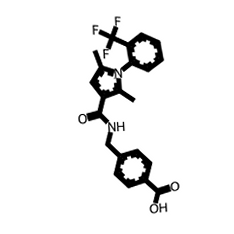 Cc1cc(C(=O)NCc2ccc(C(=O)O)cc2)c(C)n1-c1ccccc1C(F)(F)F